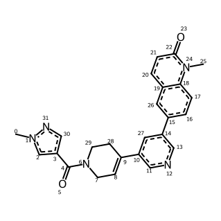 Cn1cc(C(=O)N2CC=C(c3cncc(-c4ccc5c(ccc(=O)n5C)c4)c3)CC2)cn1